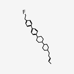 CC=CCCC1CCC(C2CCC(c3ccc(-c4ccc(CCF)cc4)cc3)CC2)CC1